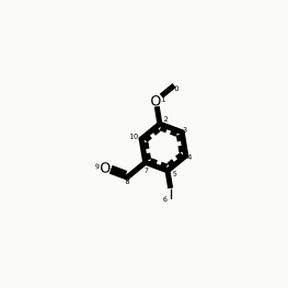 COc1ccc(I)c(C=O)c1